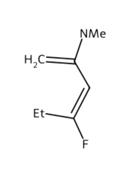 C=C(/C=C(/F)CC)NC